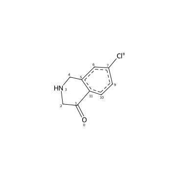 O=C1CNCc2cc(Cl)ccc21